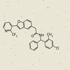 Cc1cc(Cl)ccc1C(NC(=O)Cc1ccc2oc(-c3cccnc3C(F)(F)F)cc2c1)c1ccccc1